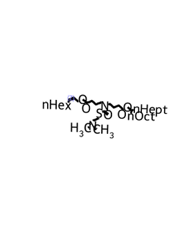 CCCCCC/C=C\COC(=O)CCCN(CCCC(=O)OC(CCCCCCC)CCCCCCCC)C(=O)SCCN(C)C